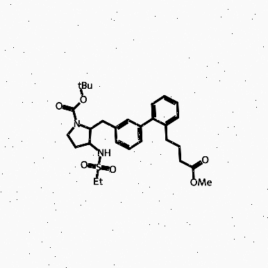 CCS(=O)(=O)NC1CCN(C(=O)OC(C)(C)C)C1Cc1cccc(-c2ccccc2CCCC(=O)OC)c1